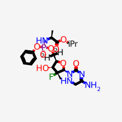 [2H]C([2H])(O[P@@](=O)(N[C@@H](C)C(=O)OC(C)C)Oc1ccccc1)[C@H]1O[C@@H](N2NCC(N)=NC2=O)[C@](C)(F)[C@@H]1O